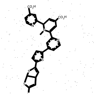 CC1=CC2C=C(c3ccc(-c4ccnc(C5=CC(C(=O)O)=CC(c6cc(C(=O)O)ccn6)N5C)c4)s3)SC2S1